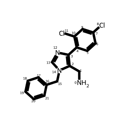 NCc1c(-c2ccc(Cl)cc2Cl)ncn1Cc1ccccc1